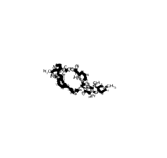 CCn1c(-c2cccnc2[C@H](C)OC)c2c3cc(ccc31)-c1csc(n1)C[C@H](NC(=O)C(C(C)C)N(C)C(=O)N(C)[C@@H]1CCCN(C)C1)C(=O)N1CCC[C@H](N1)C(=O)OCC(C)(C)C2